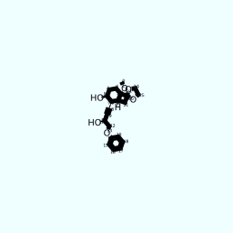 CO[C@@]12CC[C@H](O)[C@@H](C#C[C@@H](O)COc3ccccc3)[C@@H]1CC21OCCO1